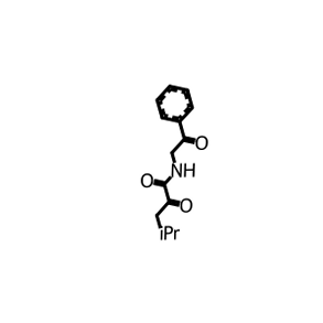 CC(C)CC(=O)C(=O)NCC(=O)c1ccccc1